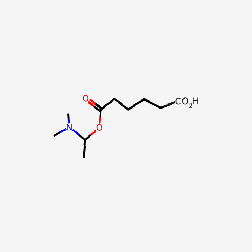 CC(OC(=O)CCCCC(=O)O)N(C)C